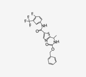 CC(NC(=O)OCc1ccccc1)c1ncc(C(=O)Nc2ccc(F)c(C(F)(F)F)c2)s1